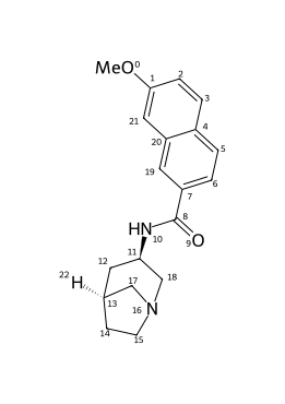 COc1ccc2ccc(C(=O)N[C@@H]3C[C@@H]4CCN(C4)C3)cc2c1